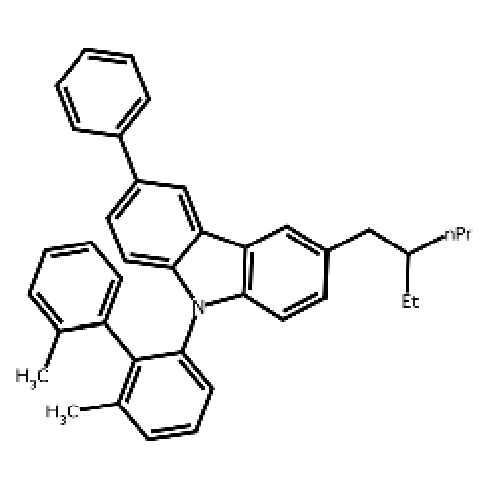 CCCC(CC)Cc1ccc2c(c1)c1cc(-c3ccccc3)ccc1n2-c1cccc(C)c1-c1ccccc1C